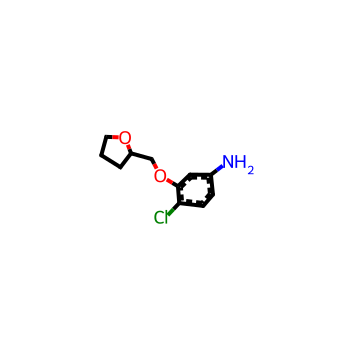 Nc1ccc(Cl)c(OCC2CCCO2)c1